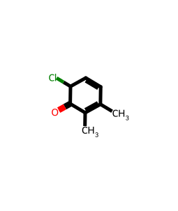 CC1=C(C)C(=O)C(Cl)C=C1